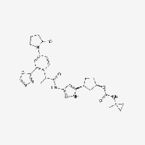 CC(C(=O)Nc1cc([C@H]2CC[C@@H](OC(=O)NC3(C)CC3)C2)[nH]n1)c1ccc(N2CCCC2=O)cc1-c1nnco1